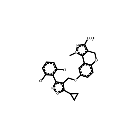 Cn1nc(C(=O)O)c2c1-c1cc(OCc3c(-c4c(Cl)cccc4Cl)noc3C3CC3)ccc1OC2